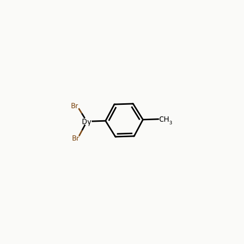 Cc1cc[c]([Dy]([Br])[Br])cc1